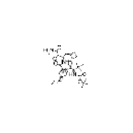 CC[C@H]1C[C@@]12C[C@@H](C(=O)NC(CC1CCC1)C(=O)C(N)=O)N(C(=O)[C@@H](NC(=O)OC(C)(C)C)C(C)(C)C)C2